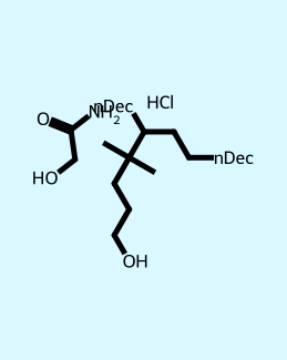 CCCCCCCCCCCCC(CCCCCCCCCC)C(C)(C)CCCO.Cl.NC(=O)CO